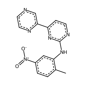 Cc1ccc([N+](=O)[O-])cc1Nc1nccc(-c2cnccn2)n1